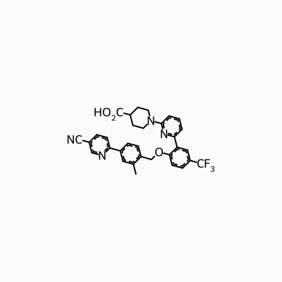 Cc1cc(-c2ccc(C#N)cn2)ccc1COc1ccc(C(F)(F)F)cc1-c1cccc(N2CCC(C(=O)O)CC2)n1